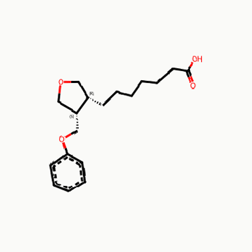 O=C(O)CCCCCC[C@H]1COC[C@H]1COc1ccccc1